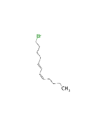 CCCC/C=C\C=C\CCCCBr